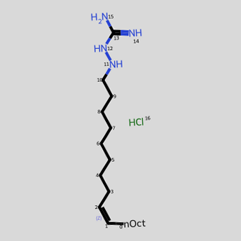 CCCCCCCC/C=C\CCCCCCCCNNC(=N)N.Cl